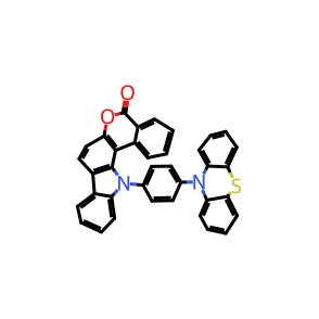 O=c1oc2ccc3c4ccccc4n(-c4ccc(N5c6ccccc6Sc6ccccc65)cc4)c3c2c2ccccc12